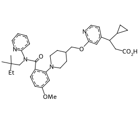 CCC(C)(C)CN(C(=O)c1ccc(OC)cc1N1CCC(COc2cc(C(CC(=O)O)C3CC3)ccn2)CC1)c1ccccn1